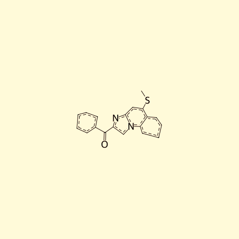 CSc1cc2nc(C(=O)c3ccccc3)cn2c2ccccc12